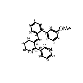 COc1cccc(-c2ccccc2C=C2CCCN=C2c2cccnc2)c1